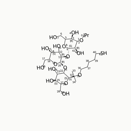 CC(C)OC1[C@H](O)C(CO)O[C@@H](O[C@@H]2C(O)[C@H](O)C(CO)O[C@@H]2OC2C(O)[C@H](O)C(CO)O[C@@H]2C(C)(C)OCCCCCS)[C@@H]1O